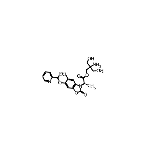 CCC(Oc1cc2oc(=O)n([C@H](C)C(=O)OCC(N)(CO)CO)c2cc1Cl)c1ccccn1